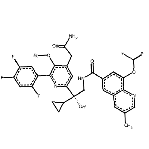 CCOc1c(CC(N)=O)cc([C@@](O)(CNC(=O)c2cc(OC(F)F)c3ncc(C)cc3c2)C2CC2)nc1-c1cc(F)c(F)cc1F